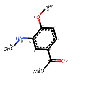 CCCOc1ccc(C(=O)OC)cc1NC=O